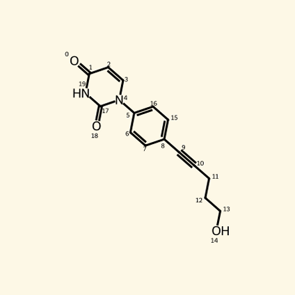 O=c1ccn(-c2ccc(C#CCCCO)cc2)c(=O)[nH]1